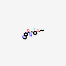 C/C=C/COc1cccc(CNC(=O)c2ccc3ncccc3c2)c1F